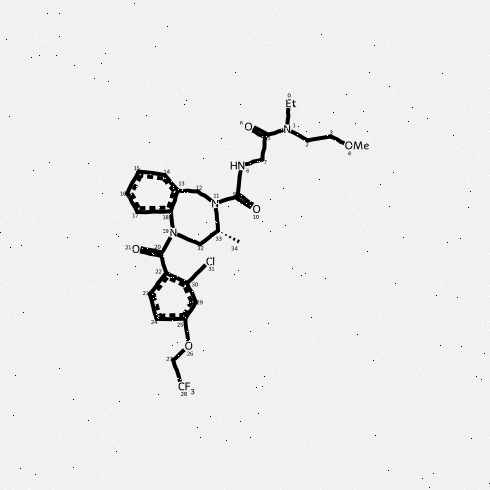 CCN(CCOC)C(=O)CNC(=O)N1Cc2ccccc2N(C(=O)c2ccc(OCC(F)(F)F)cc2Cl)C[C@H]1C